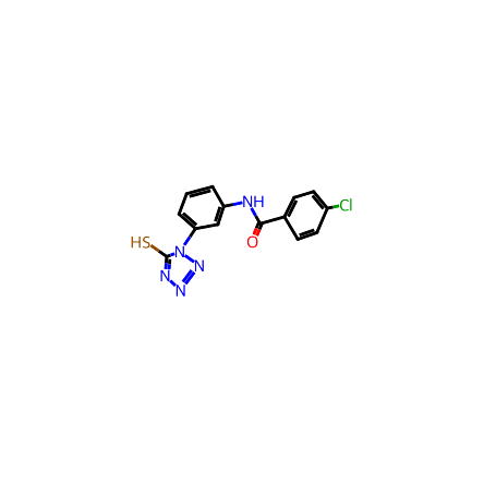 O=C(Nc1cccc(-n2nnnc2S)c1)c1ccc(Cl)cc1